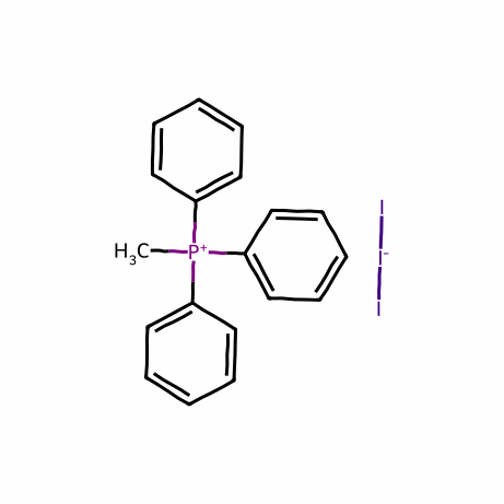 C[P+](c1ccccc1)(c1ccccc1)c1ccccc1.I[I-]I